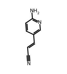 N#CC=Cc1ccc(N)nc1